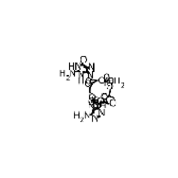 B[P@@]1(=O)OCC23COC(C(n4cnc5c(N)ncnc54)O2)C3OP(=O)(O)OCC2OC(n3cnc4c(=O)[nH]c(N)nc43)C(O1)C2O